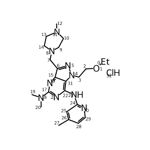 CCOCCn1nc(CN2CCN(C)CC2)c2nc(N(C)C)nc(Nc3cc(C)ccn3)c21.Cl